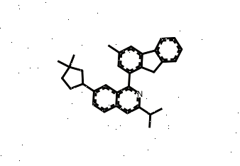 Cc1cc2c(c(-c3nc(C(C)C)cc4ccc(C5CCC(C)(C)C5)cc34)c1)Cc1ccccc1-2